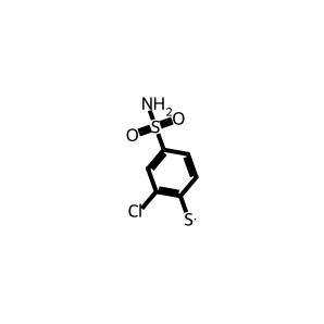 NS(=O)(=O)c1ccc([S])c(Cl)c1